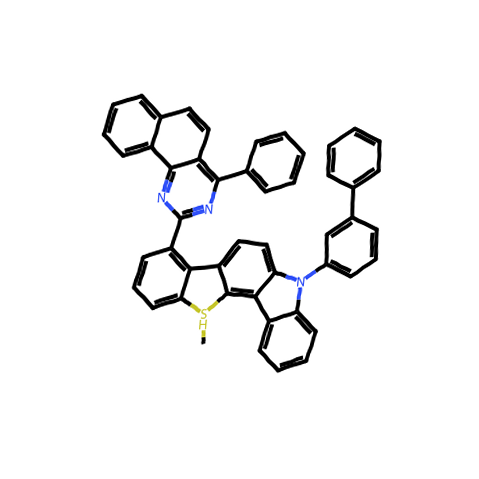 C[SH]1c2cccc(-c3nc(-c4ccccc4)c4ccc5ccccc5c4n3)c2-c2ccc3c(c21)c1ccccc1n3-c1cccc(-c2ccccc2)c1